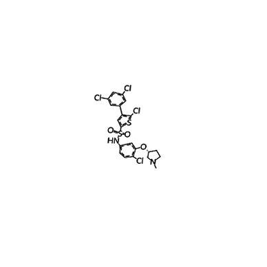 CN1CC[C@@H](Oc2cc(NS(=O)(=O)c3cc(-c4cc(Cl)cc(Cl)c4)c(Cl)s3)ccc2Cl)C1